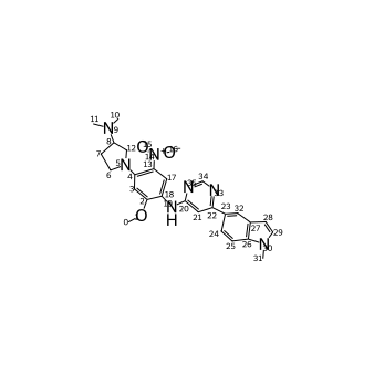 COc1cc(N2CCC(N(C)C)C2)c([N+](=O)[O-])cc1Nc1cc(-c2ccc3c(ccn3C)c2)ncn1